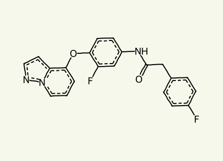 O=C(Cc1ccc(F)cc1)Nc1ccc(Oc2cccn3nccc23)c(F)c1